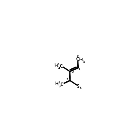 C/C=C(\C)C(C)[S]